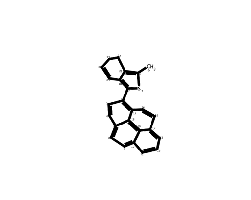 Cc1sc(-c2ccc3ccc4cccc5ccc2c3c45)c2c1CCC=C2